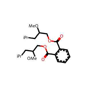 COC(COC(=O)c1ccccc1C(=O)OCC(CC(C)C)OC)CC(C)C